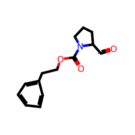 O=[C]C1CCCN1C(=O)OCCc1ccccc1